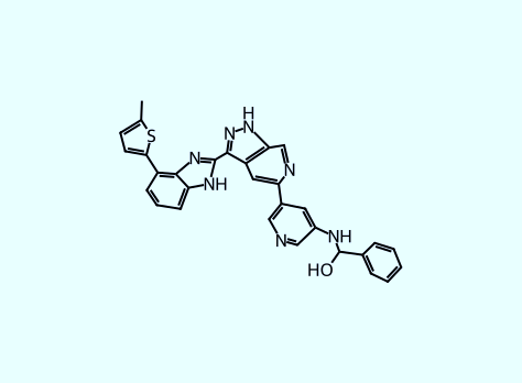 Cc1ccc(-c2cccc3[nH]c(-c4n[nH]c5cnc(-c6cncc(NC(O)c7ccccc7)c6)cc45)nc23)s1